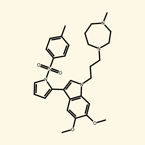 COc1cc2c(-c3cccn3S(=O)(=O)c3ccc(C)cc3)cn(CCCN3CCCN(C)CC3)c2cc1OC